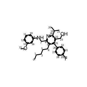 CCCCCc1c(CNc2cccc(OC)c2)nc(C(C)C)c(CO)c1-c1ccc(F)cc1